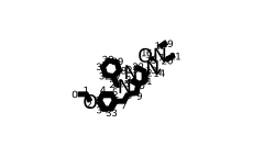 CCOc1ccc(CC2Cc3cc(N(C)C(=O)N(CC)CC)cnc3N2CC2CCCCC2)cc1